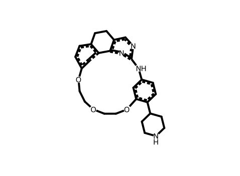 c1cc(C2CCNCC2)c2cc1Nc1ncc3c(n1)-c1cc(ccc1CC3)OCCOCCO2